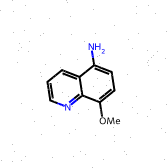 COc1ccc(N)c2cccnc12